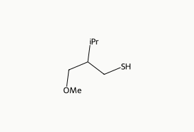 COCC(CS)C(C)C